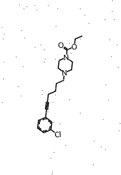 CCOC(=O)N1CCN(CCCCC#Cc2cccc(Cl)c2)CC1